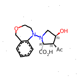 CC(=O)[C@@H]1[C@H](O)CN(N2CCOCc3ccccc32)[C@H]1C(=O)O